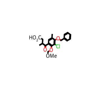 COCOc1c(C(=O)C(C)CC(=O)O)cc(C)c(OCc2ccccc2)c1Cl